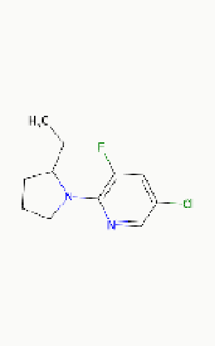 CCC1CCCN1c1ncc(Cl)cc1F